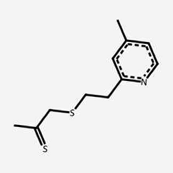 CC(=S)CSCCc1cc(C)ccn1